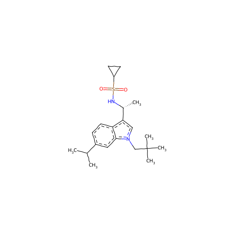 CC(C)c1ccc2c([C@@H](C)NS(=O)(=O)C3CC3)cn(CC(C)(C)C)c2c1